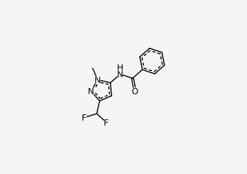 Cn1nc(C(F)F)cc1NC(=O)c1ccccc1